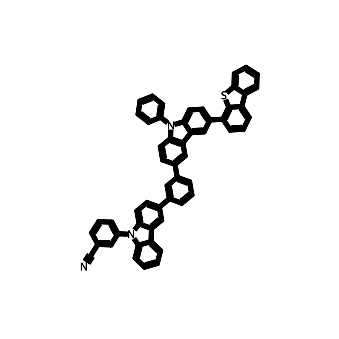 N#Cc1cccc(-n2c3ccccc3c3cc(-c4cccc(-c5ccc6c(c5)c5cc(-c7cccc8c7sc7ccccc78)ccc5n6-c5ccccc5)c4)ccc32)c1